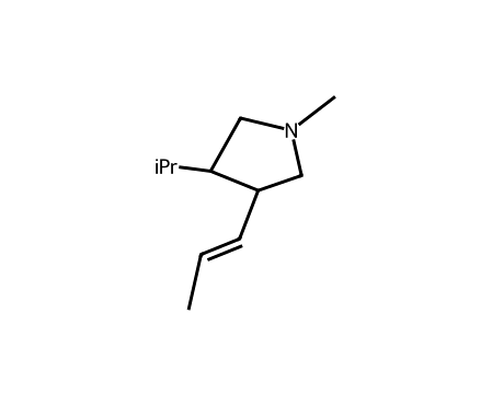 C/C=C/C1CN(C)CC1C(C)C